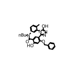 CCCCN(C)C(=O)c1cc(-c2nnc(O)n2-c2ccccc2C)c(OCc2ccccc2)cc1O